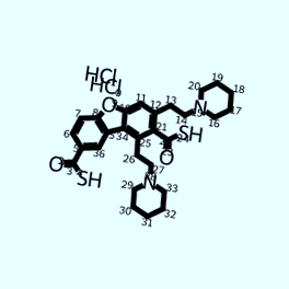 Cl.Cl.O=C(S)c1ccc2oc3cc(CCN4CCCCC4)c(C(=O)S)c(CCN4CCCCC4)c3c2c1